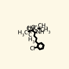 CC(C)(C)NC(CCCc1ccccc1Cl)C(=O)C(C)(C)C